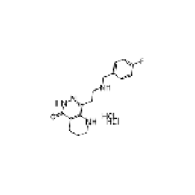 Cl.Cl.O=c1[nH]nc(CCNCc2ccc(F)cc2)c2c1CCCN2